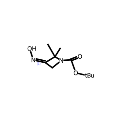 CC(C)(C)OC(=O)N1C/C(=N/O)C1(C)C